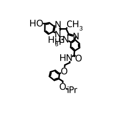 CC(C)OCc1ccccc1OCCNC(=O)c1ccc2nc(C(C)c3nc4cc(O)ccc4[nH]3)n(C)c2c1